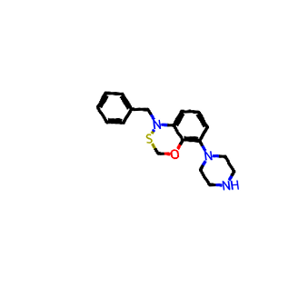 c1ccc(CN2SCOc3c(N4CCNCC4)cccc32)cc1